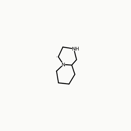 [CH]1CNCC2CCCCN12